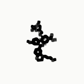 COCCCN1CCOc2ccc(CO[C@H]3CN(C(=O)O)C[C@@H](OC[C@@H](COC)OS(C)(=O)=O)[C@@H]3c3ccc(OC)cc3)cc21